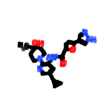 CC1(O)CCN(c2ncc(C3CC3)cc2NC(=O)c2ccc(-c3cn[nH]c3)o2)CC1